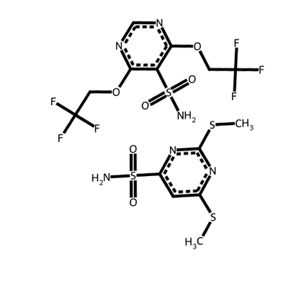 CSc1cc(S(N)(=O)=O)nc(SC)n1.NS(=O)(=O)c1c(OCC(F)(F)F)ncnc1OCC(F)(F)F